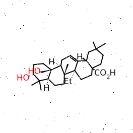 CC[C@@]12CC[C@@]3(C(=O)O)CCC(C)(C)C[C@H]3C1=CC[C@@H]1[C@@]3(CO)CC[C@@H](O)C(C)(C)[C@@H]3CC[C@]12C